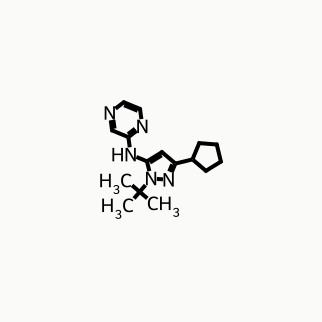 CC(C)(C)n1nc(C2CCCC2)cc1Nc1cnccn1